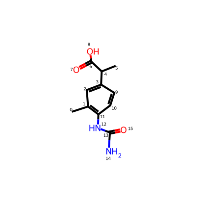 Cc1cc(C(C)C(=O)O)ccc1NC(N)=O